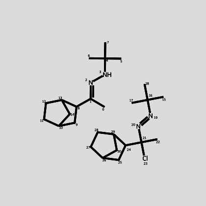 CC(=NNC(C)(C)C)C1CC2CCC1C2.CC(C)(C)N=NC(C)(Cl)C1CC2CCC1C2